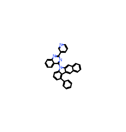 c1ccc(-c2cccc3c2c2cc4ccccc4cc2n3-c2nc(-c3cccnc3)nc3ccccc23)cc1